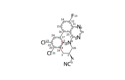 N#CC[C@H]1CCCN(c2ncnc3c(F)ccc(-c4ccc(Cl)c(Cl)c4)c23)C1